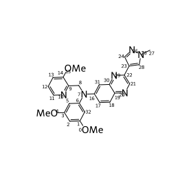 COc1cc(OC)cc(N(Cc2ncccc2OC)c2ccc3ncc(-c4cnn(C)c4)nc3c2)c1